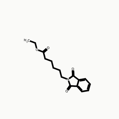 CCOC(=O)CCCCCN1C(=O)c2ccccc2C1=O